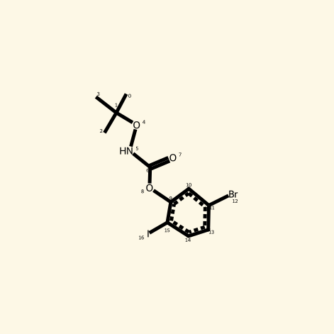 CC(C)(C)ONC(=O)Oc1cc(Br)ccc1I